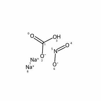 O=C([O-])O.O=N[O-].[Na+].[Na+]